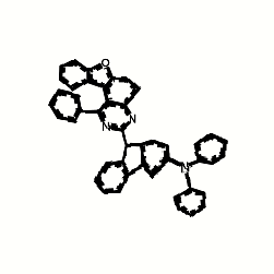 c1ccc(-c2nc(C3c4ccccc4-c4cc(N(c5ccccc5)c5ccccc5)ccc43)nc3ccc4oc5ccccc5c4c23)cc1